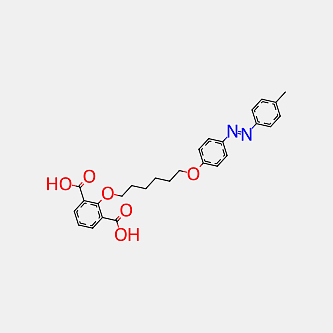 Cc1ccc(N=Nc2ccc(OCCCCCCOc3c(C(=O)O)cccc3C(=O)O)cc2)cc1